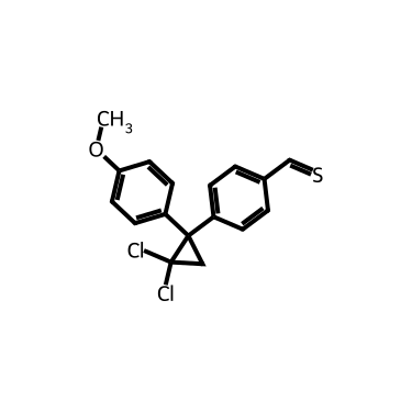 COc1ccc(C2(c3ccc(C=S)cc3)CC2(Cl)Cl)cc1